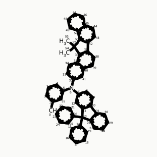 Cc1cccc(N(c2ccc3c(c2)C(c2ccccc2)(c2ccccc2)c2ccccc2-3)c2ccc3c4c(ccc3c2)-c2ccc3ccccc3c2C4(C)C)c1